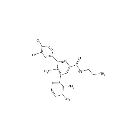 Cc1cccc(-c2cc(C(=O)NCCN)nc(-c3ccc(Cl)c(Cl)c3)c2C)c1N